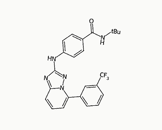 CC(C)(C)NC(=O)c1ccc(Nc2nc3cccc(-c4cccc(C(F)(F)F)c4)n3n2)cc1